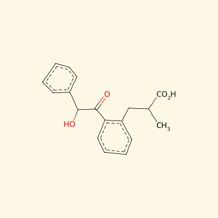 CC(Cc1ccccc1C(=O)C(O)c1ccccc1)C(=O)O